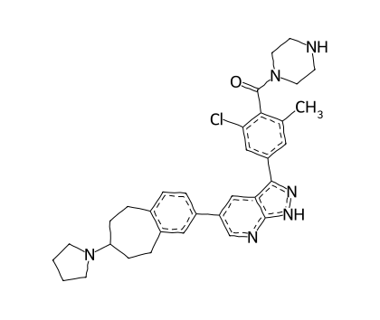 Cc1cc(-c2n[nH]c3ncc(-c4ccc5c(c4)CCC(N4CCCC4)CC5)cc23)cc(Cl)c1C(=O)N1CCNCC1